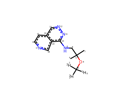 [2H]C([2H])([2H])OC(C)(C)CNc1nncc2ccncc12